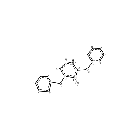 On1p(Oc2ccccc2)np[nH]p1Oc1ccccc1